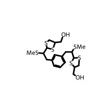 CSC(Cc1cccc(CC(SC)C2SCC(CO)S2)c1)C1SCC(CO)S1